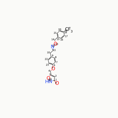 O=c1cc(COc2ccc(CC=NOCc3ccc(C(F)(F)F)cc3)cc2)o[nH]1